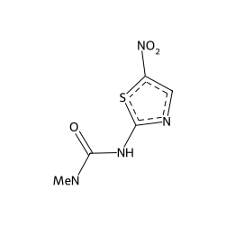 [CH2]NC(=O)Nc1ncc([N+](=O)[O-])s1